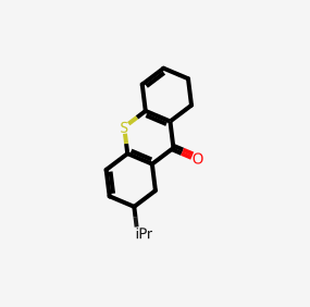 CC(C)C1C=Cc2sc3c(c(=O)c2C1)CCC=C3